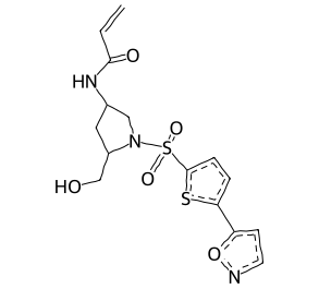 C=CC(=O)NC1CC(CO)N(S(=O)(=O)c2ccc(-c3ccno3)s2)C1